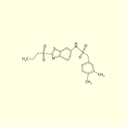 CCCS(=O)(=O)c1nc2ccc(NS(=O)(=O)Cc3ccc(C)c(C)c3)cc2s1